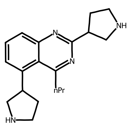 CCCc1nc(C2CCNC2)nc2cccc(C3CCNC3)c12